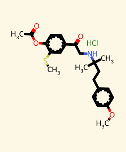 COc1ccc(CCC(C)(C)NCC(=O)c2ccc(OC(C)=O)c(SC)c2)cc1.Cl